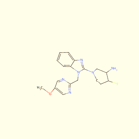 COc1cnc(Cn2c(N3CCC(F)C(N)C3)nc3ccccc32)nc1